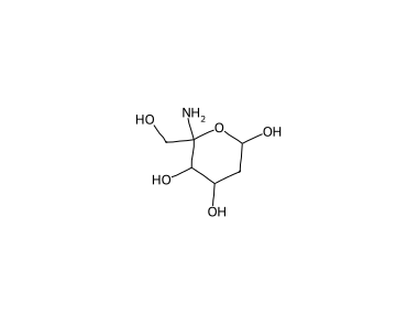 NC1(CO)OC(O)CC(O)C1O